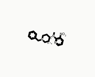 C[C@@H]1CN(Cc2ccccc2)CC[C@@H]1N(C)c1ncccc1[N+](=O)[O-]